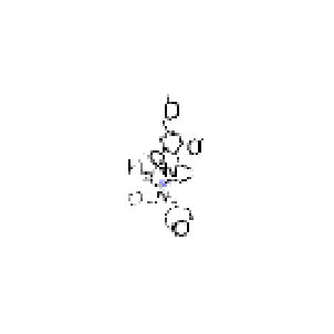 CCC/C(=C1/C=CC=C(c2c(OC)cc(COC)cc2OC)N1N)N(CC1CCC1)CC1CCOCC1